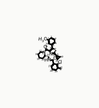 Cc1cccc(-c2sc(C3CC3)nc2C(=O)N2CCCC[C@H]2CNC(=O)c2cccc(F)c2Cl)c1